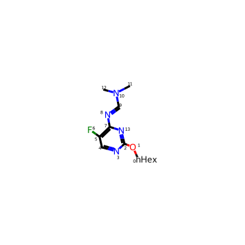 CCCCCCOc1ncc(F)c(/N=C/N(C)C)n1